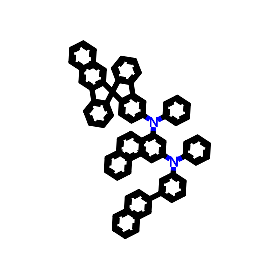 c1ccc(N(c2cccc(-c3ccc4ccccc4c3)c2)c2cc(N(c3ccccc3)c3ccc4c(c3)-c3ccccc3C43c4ccccc4-c4cc5ccccc5cc43)c3ccc4ccccc4c3c2)cc1